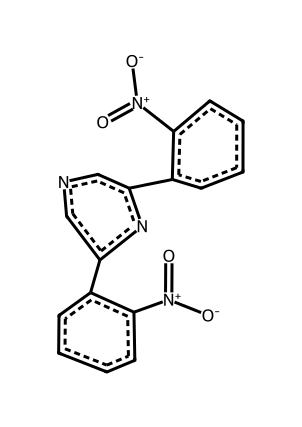 O=[N+]([O-])c1ccccc1-c1cncc(-c2ccccc2[N+](=O)[O-])n1